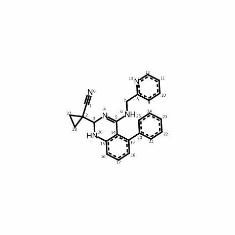 N#CC1(C2N=C(NCc3ccccn3)c3c(cccc3-c3ccccc3)N2)CC1